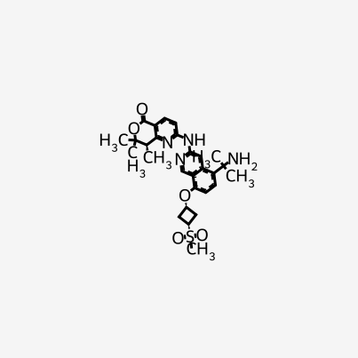 C[C@@H]1c2nc(Nc3cc4c(C(C)(C)N)ccc(O[C@H]5C[C@@H](S(C)(=O)=O)C5)c4cn3)ccc2C(=O)OC1(C)C